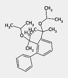 CC(C)OC(C)(C)c1cccc(-c2ccccc2)c1C(C)(C)OC(C)C